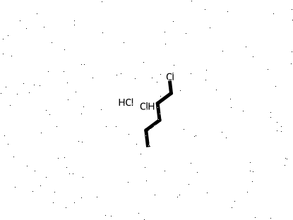 CCCCCCl.Cl.Cl